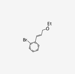 [CH2]COC/C=C/c1ccccc1Br